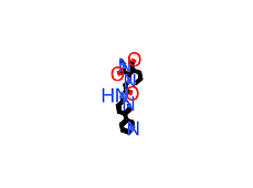 CN1C(=O)C2=C(C1=O)N(CC(=O)Nc1ccc(-c3cccnc3)cn1)CCC2